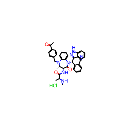 CNC(C)C(=O)N[C@@H]1C(=O)N([C@@H](c2ccccc2C#N)c2n[nH]c3ccccc23)c2ccccc2N(Cc2ccc(C(C)=O)cc2)[C@H]1C.Cl